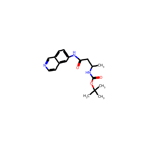 CC(CC(=O)Nc1ccc2cnccc2c1)NC(=O)OC(C)(C)C